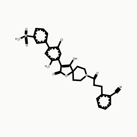 Cc1cc(-c2cccc(S(C)(=O)=O)c2)c(Cl)cc1C1=C(O)C2(CCN(C(=O)CCc3ccccc3C#N)CC2)OC1=O